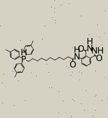 Cc1ccc([PH](CCCCCCCCCCC(=O)Nc2cccc3c(=O)[nH][nH]c(=O)c23)(c2ccc(C)cc2)c2ccc(C)cc2)cc1